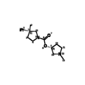 CC(C)[C@@]1(C)CCN(C(=O)O[C@@H]2CCN(C)C2)C1